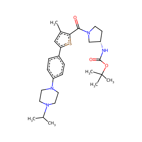 Cc1cc(-c2ccc(N3CCN(C(C)C)CC3)cc2)sc1C(=O)N1CC[C@H](NC(=O)OC(C)(C)C)C1